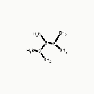 BB(B)B(B)B(B)B